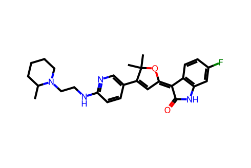 CC1CCCCN1CCNc1ccc(C2=C/C(=C3\C(=O)Nc4cc(F)ccc43)OC2(C)C)cn1